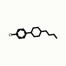 CCCCC1CCC(c2ccc(Cl)cc2)CC1